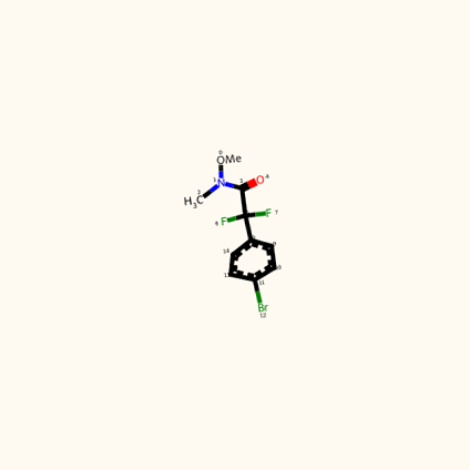 CON(C)C(=O)C(F)(F)c1ccc(Br)cc1